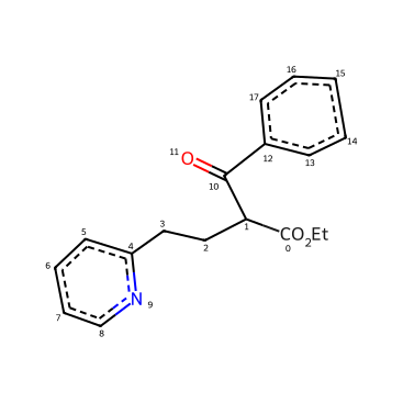 CCOC(=O)C(CCc1ccccn1)C(=O)c1ccccc1